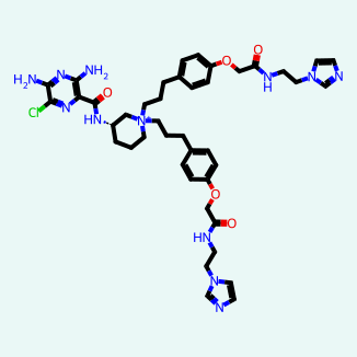 Nc1nc(N)c(C(=O)N[C@H]2CCC[N+](CCCc3ccc(OCC(=O)NCCn4ccnc4)cc3)(CCCc3ccc(OCC(=O)NCCn4ccnc4)cc3)C2)nc1Cl